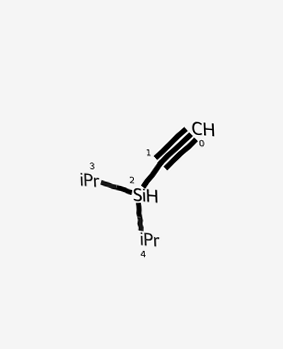 C#C[SiH](C(C)C)C(C)C